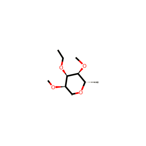 CCO[C@H]1[C@@H](OC)[C@H](C)O[C][C@H]1OC